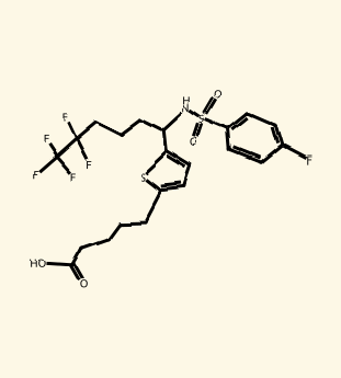 O=C(O)CCCCc1ccc(C(CCCC(F)(F)C(F)(F)F)NS(=O)(=O)c2ccc(F)cc2)s1